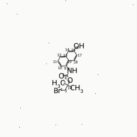 CC(C)(CBr)OC(=O)Nc1cccc2cc(O)ccc12